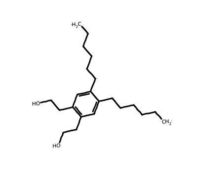 [CH2]CCCC[CH]c1cc(CCO)c(CCO)cc1[CH]CCCC[CH2]